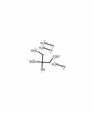 O=C([O-])CC(O)(CC(=O)[O-])C(=O)[O-].[NH3+][Fe].[NH3+][Fe].[NH3+][Fe]